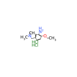 CCOc1ccc(CN(C)C)cc1N.Cl.Cl